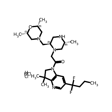 CCCC(F)(F)c1cnc2c(c1)N(C(=O)CN1C[C@@H](C)NC[C@@H]1CN1C[C@@H](C)O[C@@H](C)C1)CC2(C)C.Cl.Cl